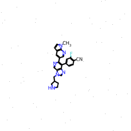 Cn1ccc2cc(-c3ncc4c(ncn4CC4CCNC4)c3-c3ccc(C#N)c(F)c3)cnc21